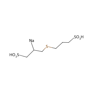 O=S(=O)(O)CCCSC[CH]([Na])CS(=O)(=O)O